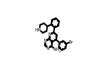 Nc1ncnc2nc(-c3ccccc3C3CCNCC3)cc(-c3cccc(Br)c3)c12